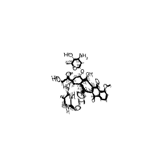 COc1cccc2c1C(=O)c1c(O)c3c(c(O)c1C2=O)C[C@@](O)(C(=O)CO)C[C@@H]3O[C@H]1C[C@H](N)[C@@H](O)[C@H](C)O1.O=c1[nH]cc(F)c(=O)[nH]1.[Pt]